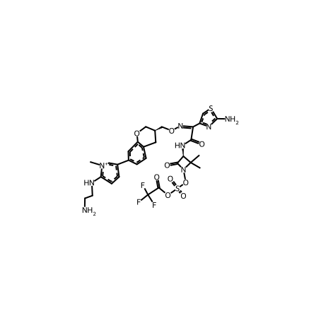 C[n+]1cc(-c2ccc3c(c2)OC[C@@H](CO/N=C(\C(=O)N[C@@H]2C(=O)N(OS(=O)(=O)OC(=O)C(F)(F)F)C2(C)C)c2csc(N)n2)C3)ccc1NCCN